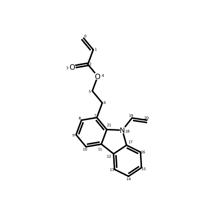 C=CC(=O)OCCc1cccc2c3ccccc3n(C=C)c12